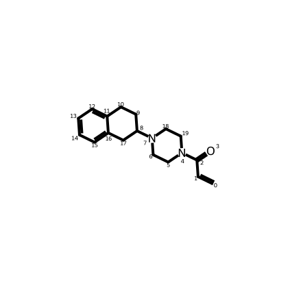 C=CC(=O)N1CCN(C2CCc3ccccc3C2)CC1